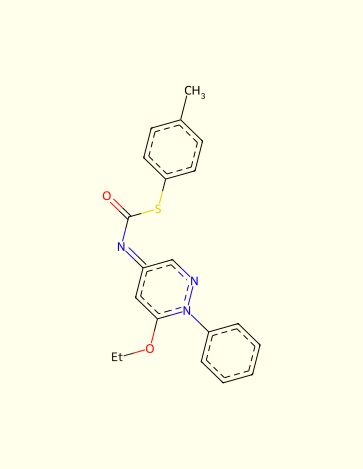 CCOc1cc(=NC(=O)Sc2ccc(C)cc2)cnn1-c1ccccc1